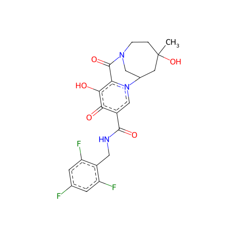 CC1(O)CCN2CC(C1)n1cc(C(=O)NCc3c(F)cc(F)cc3F)c(=O)c(O)c1C2=O